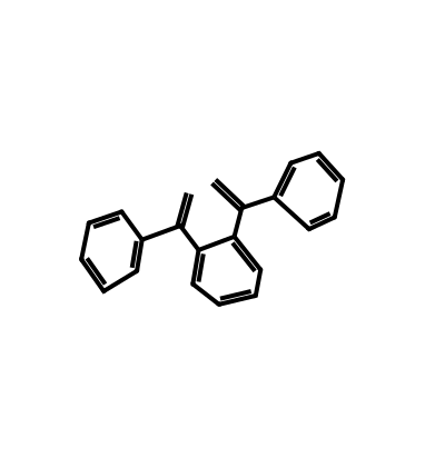 C=C(c1ccccc1)c1ccccc1C(=C)c1ccccc1